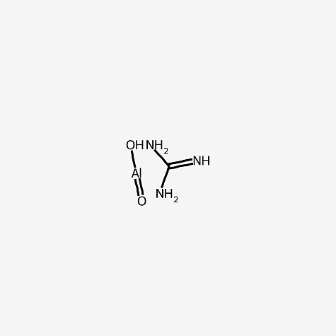 N=C(N)N.[O]=[Al][OH]